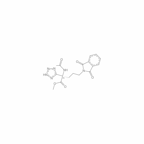 COC(=O)[C@](CCCN1C(=O)c2ccccc2C1=O)(NC(C)=O)c1nn[nH]n1